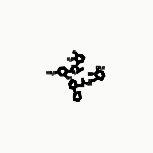 Cc1c(Cl)cccc1N(N=Cc1ccc(C(=O)O)cc1O)C(N)=S.O=C(O)c1cccc(C=NNC(=S)Nc2ccccc2-c2ccccc2)c1O